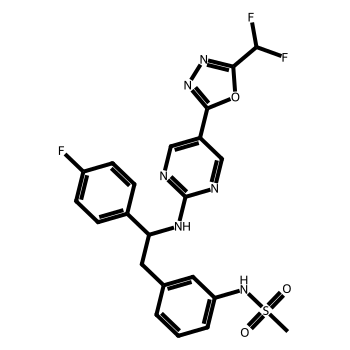 CS(=O)(=O)Nc1cccc(CC(Nc2ncc(-c3nnc(C(F)F)o3)cn2)c2ccc(F)cc2)c1